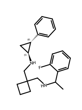 CC(NCC1(CN[C@H]2C[C@@H]2c2ccccc2)CCC1)c1ccccc1F